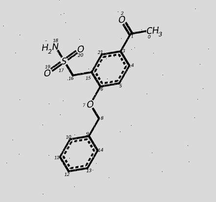 CC(=O)c1ccc(OCc2ccccc2)c(CS(N)(=O)=O)c1